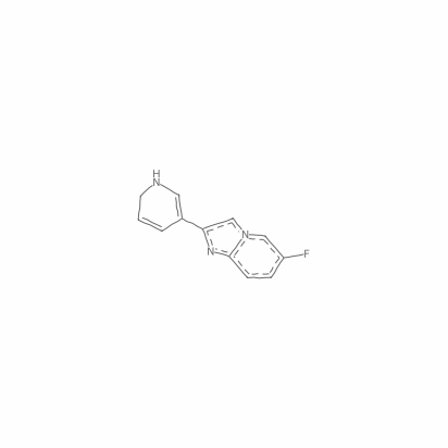 Fc1ccc2nc(C3=CNCC=C3)cn2c1